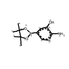 CC1(C)OB(c2cnc(N)c(O)c2)OC1(C)C